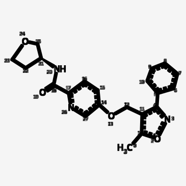 Cc1onc(-c2ccccc2)c1COc1ccc(C(=O)N[C@H]2CCOC2)nc1